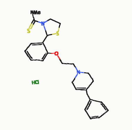 CNC(=S)N1CCSC1c1ccccc1OCCN1CC=C(c2ccccc2)CC1.Cl